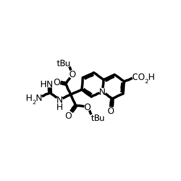 CC(C)(C)OC(=O)C(NC(=N)N)(C(=O)OC(C)(C)C)c1ccc2cc(C(=O)O)cc(=O)n2c1